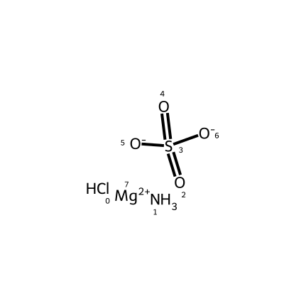 Cl.N.O=S(=O)([O-])[O-].[Mg+2]